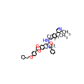 CC[C@@H](c1ccccc1)N1Cc2cc3c(cc2C[C@H]1C(=O)N[C@@H](Cc1ccc(-c2ccnc(C)c2C)cc1)C(=O)O)OC[C@H](c1ccc(OCCC2CCCC2)cc1)O3